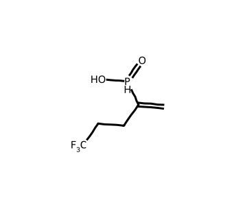 C=C(CCC(F)(F)F)[PH](=O)O